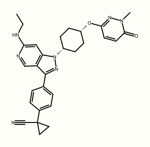 CCNc1cc2c(cn1)c(-c1ccc(C3(C#N)CC3)cc1)nn2[C@H]1CC[C@@H](Oc2ccc(=O)n(C)n2)CC1